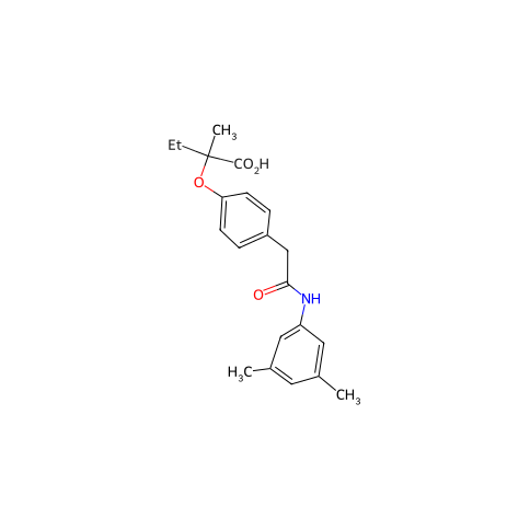 CCC(C)(Oc1ccc(CC(=O)Nc2cc(C)cc(C)c2)cc1)C(=O)O